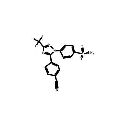 N#Cc1ccc(-c2nc(C(F)(F)F)nn2-c2ccc(S(N)(=O)=O)cc2)cc1